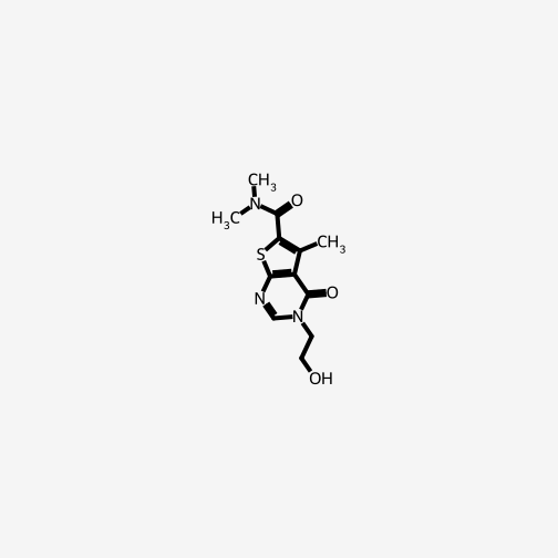 Cc1c(C(=O)N(C)C)sc2ncn(CCO)c(=O)c12